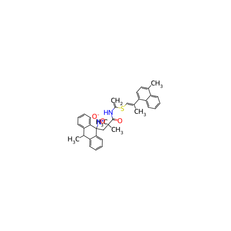 C=C(NC(=O)C(C)(C)CC1([N+](=O)[O-])c2ccccc2C(C)c2ccccc21)S/C=C(\C)c1ccc(C)c2ccccc12